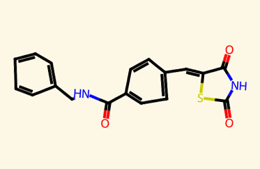 O=C1NC(=O)C(=Cc2ccc(C(=O)NCc3ccccc3)cc2)S1